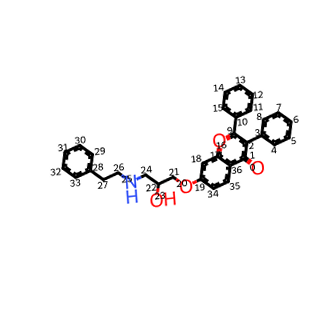 O=c1c(-c2ccccc2)c(-c2ccccc2)oc2cc(OCC(O)CNCCc3ccccc3)ccc12